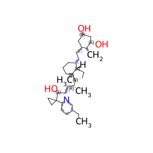 C=C1/C(=C\C=C2/CCC[C@]3(C)[C@@H]([C@H](C)/C=C/[C@H](O)C4(c5ccc(CC)cn5)CC4)CC[C@@H]23)C[C@@H](O)C[C@@H]1O